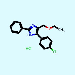 CCOCc1nc(-c2ccccc2)[nH]c1-c1ccc(Cl)cc1.Cl